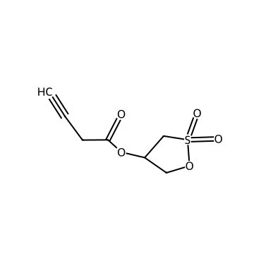 C#CCC(=O)OC1COS(=O)(=O)C1